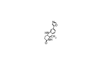 C=C1NC(=O)CCC1Nc1cccc(-c2cnco2)c1